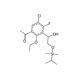 CCOc1c(C(C)=O)cc(Cl)c(F)c1C(O)CO[Si](C)(C)C(C)C